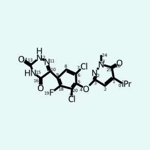 CC(C)c1cc(Oc2c(Cl)cc(-c3n[nH]c(=O)[nH]c3=O)c(F)c2Cl)nn(C)c1=O